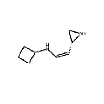 C(=C/[C@@H]1CN1)/NC1CCC1